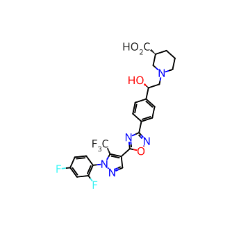 O=C(O)[C@H]1CCCN(C[C@H](O)c2ccc(-c3noc(-c4cnn(-c5ccc(F)cc5F)c4C(F)(F)F)n3)cc2)C1